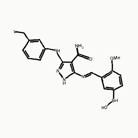 COc1ccc(BO)cc1/C=N/c1[nH]nc(Nc2cccc(CI)c2)c1C(N)=O